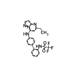 CCc1cc(Nc2ccc(-c3ccccc3NS(=O)(=O)C(F)(F)F)cc2)n2nccc2n1